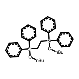 CCCCO[Si](CC[Si](OCCCC)(c1ccccc1)c1ccccc1)(c1ccccc1)c1ccccc1